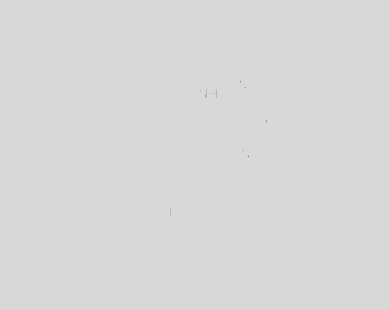 Cc1cc(C)cc(Nc2cc(NC3C=CC(P(C)(C)=O)=CC3C)ncn2)c1